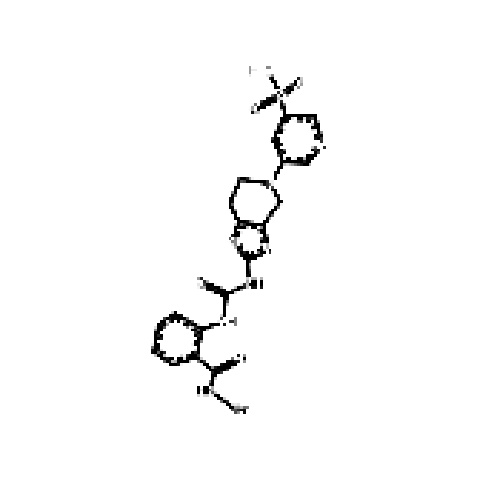 CC(C)NC(=O)c1ccccc1NC(=O)Nc1nc2c(s1)CN(c1cncc(S(C)(=O)=O)c1)CC2